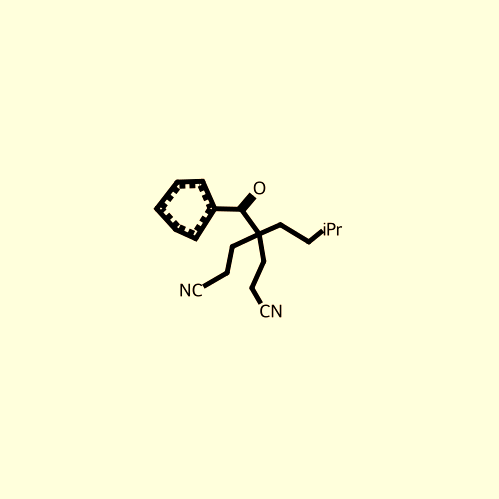 CC(C)CCC(CCC#N)(CCC#N)C(=O)c1ccccc1